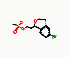 CS(=O)(=O)OCCC1OCCc2cc(Br)ccc21